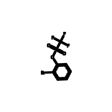 O=S(=O)(Oc1ccccc1Br)C(F)(F)F